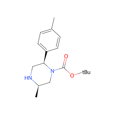 Cc1ccc([C@@H]2CN[C@H](C)CN2C(=O)OC(C)(C)C)cc1